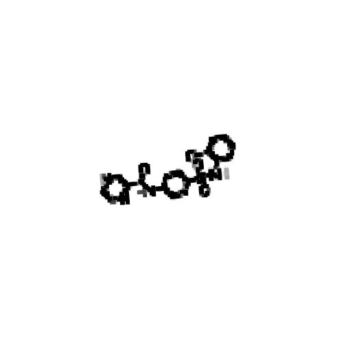 O=C(Nc1ccc(S(=O)(=O)Nc2ccccc2Cl)cc1)c1cnccn1